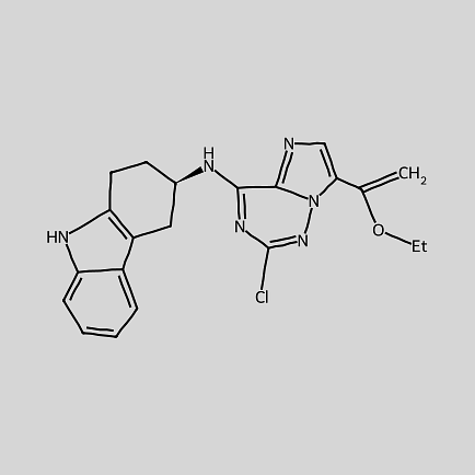 C=C(OCC)c1cnc2c(N[C@@H]3CCc4[nH]c5ccccc5c4C3)nc(Cl)nn12